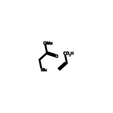 C=CC(=O)O.COC(=O)CC(C)(C)C